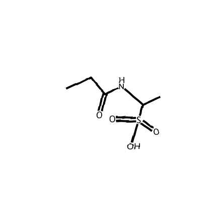 CCC(=O)NC(C)S(=O)(=O)O